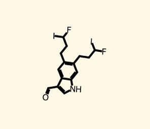 O=Cc1c[nH]c2cc(CCC(F)I)c(CCC(F)I)cc12